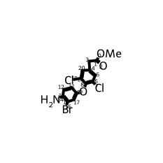 COC(=O)Cc1cc(Cl)c(Oc2ccc(N)c(Br)c2)c(Cl)c1